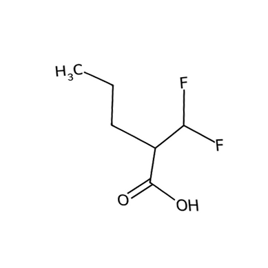 CCCC(C(=O)O)C(F)F